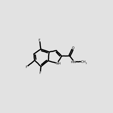 CNC(=O)c1cc2c(F)cc(F)c(F)c2[nH]1